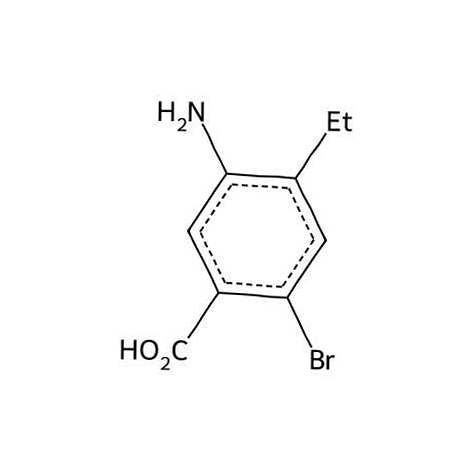 CCc1cc(Br)c(C(=O)O)cc1N